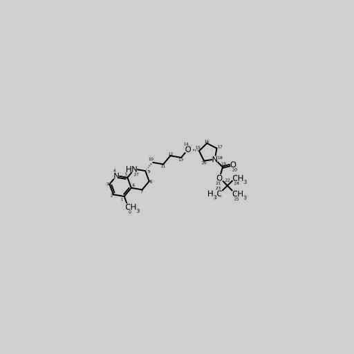 Cc1ccnc2c1CC[C@@H](CCCCO[C@@H]1CCN(C(=O)OC(C)(C)C)C1)N2